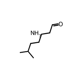 CC(C)CCCCC=O.N